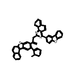 C=C(Cc1nc(-c2ccc3oc4ccccc4c3c2)c2ccc3ccccc3c2n1)c1cc2sc3ccc4ccccc4c3c2cc1-c1ccccc1C